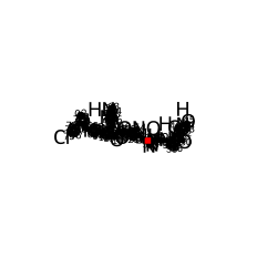 CC1(C)CCC(CN2CCN(c3ccc(C(=O)NS(=O)(=O)c4ccc(NCc5cn(CCNc6cccc7c6CN(C6CCC(=O)NC6=O)C7=O)nn5)c([N+](=O)[O-])c4)c(Oc4cnc5[nH]ccc5c4)c3)CC2)=C(c2ccc(Cl)cc2)C1